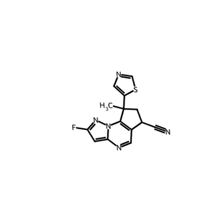 CC1(c2cncs2)CC(C#N)c2cnc3cc(F)nn3c21